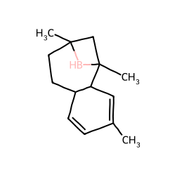 CC1=CC2C(C=C1)CCC1(C)BC2(C)C1